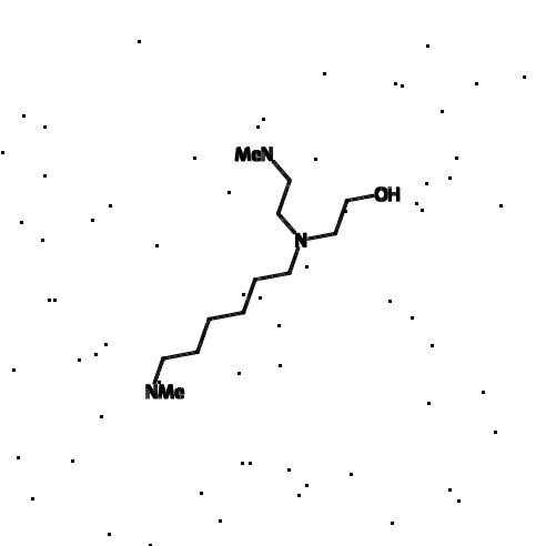 CNCCCCCCN(CCO)CCNC